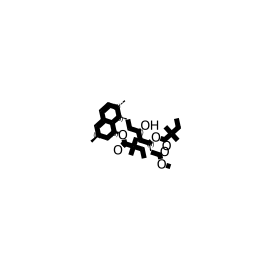 CCC(C)(C)C(=O)O[C@H](CC(=O)OC)C[C@H](O)CC[C@@H]1C2C(=C[C@H](C)C[C@@H]2OC(=O)C(C)(C)CC)C=C[C@@H]1C